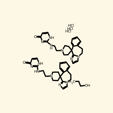 CCCO.Cl.Cl.Cl.O=c1cc[nH]c(NCCN2CCC3(CC2)c2ccccc2CCn2ccnc23)n1.O=c1cc[nH]c(NCCN2CCC3(CC2)c2ccccc2CCn2ccnc23)n1